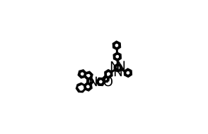 C1=CCc2ccc3c(c2C=C1)c1c2ccccc2ccc1n3-c1ccc2oc3cc(-c4nc(-c5ccccc5)nc(-c5ccc(-c6ccccc6)cc5)n4)ccc3c2c1